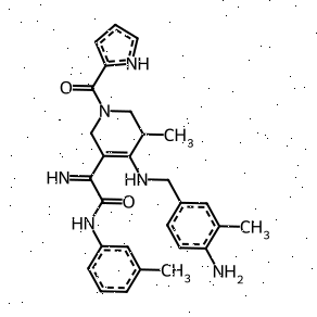 Cc1cccc(NC(=O)C(=N)C2=C(NCc3ccc(N)c(C)c3)C(C)CN(C(=O)c3ccc[nH]3)C2)c1